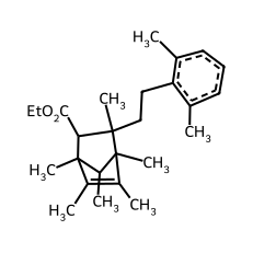 CCOC(=O)C1C2(C)C(C)=C(C)C(C)(C2C)C1(C)CCc1c(C)cccc1C